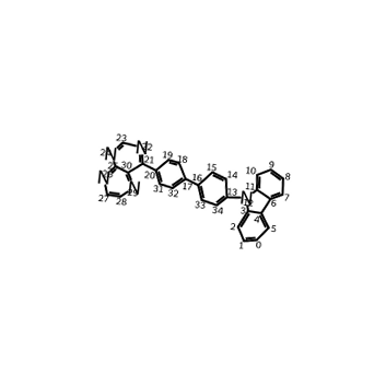 c1ccc2c(c1)c1ccccc1n2-c1ccc(-c2ccc(-c3ncnc4nccnc34)cc2)cc1